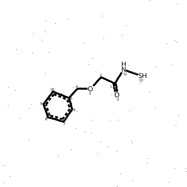 O=C(COCc1ccccc1)NS